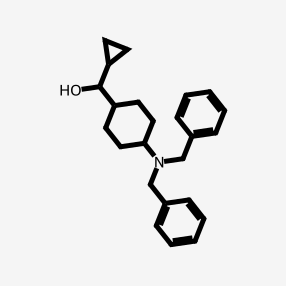 OC(C1CC1)C1CCC(N(Cc2ccccc2)Cc2ccccc2)CC1